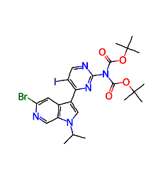 CC(C)n1cc(-c2nc(N(C(=O)OC(C)(C)C)C(=O)OC(C)(C)C)ncc2I)c2cc(Br)ncc21